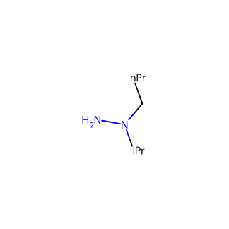 CCCCN(N)C(C)C